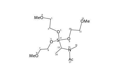 COCCO[Si](OCCOC)(OCCOC)C(C)N(C)C(C)=O